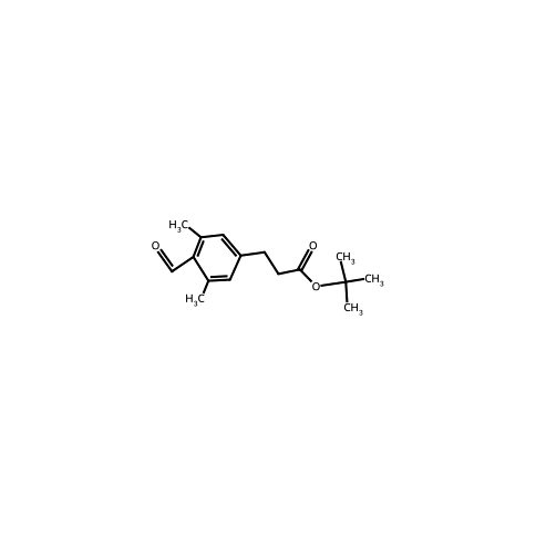 Cc1cc(CCC(=O)OC(C)(C)C)cc(C)c1C=O